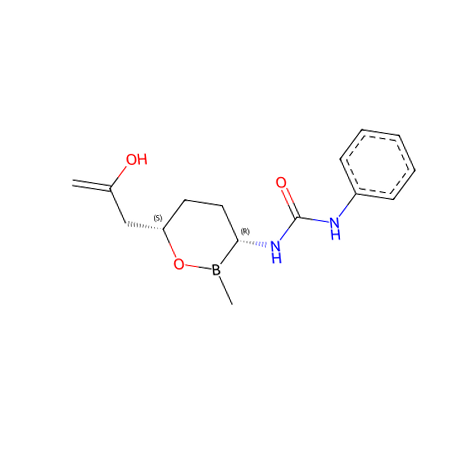 C=C(O)C[C@@H]1CC[C@H](NC(=O)Nc2ccccc2)B(C)O1